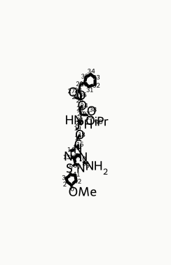 COc1ccc(Sc2nc(N)nc3c2ncn3CCOCPNC(COC2COC(Cc3ccccc3)O2)C(=O)OC(C)C)cc1